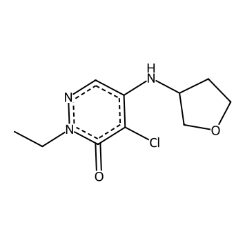 CCn1ncc(NC2CCOC2)c(Cl)c1=O